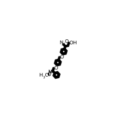 CO/N=C(/COc1ccc(COc2ccc(C(C#N)CC(=O)O)cc2)cc1)c1ccccc1